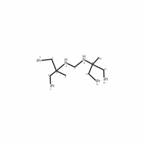 CC(C)CC(C)(CC(C)C)NCNC(C)(CC(C)C)CC(C)C